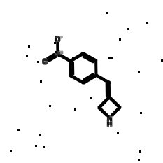 O=[N+]([O-])c1ccc(C=C2CNC2)cc1